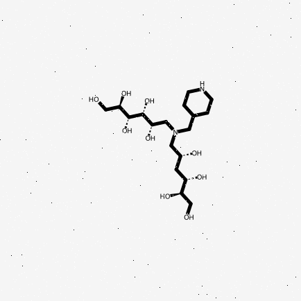 OC[C@@H](O)[C@@H](O)[C@H](O)[C@@H](O)CN(CC1CCNCC1)C[C@H](O)C[C@H](O)[C@H](O)CO